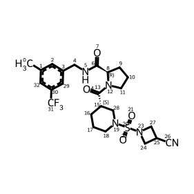 Cc1cc(CNC(=O)[C@H]2CCCN2C(=O)[C@H]2CCCN(S(=O)(=O)N3CC(C#N)C3)C2)cc(C(F)(F)F)c1